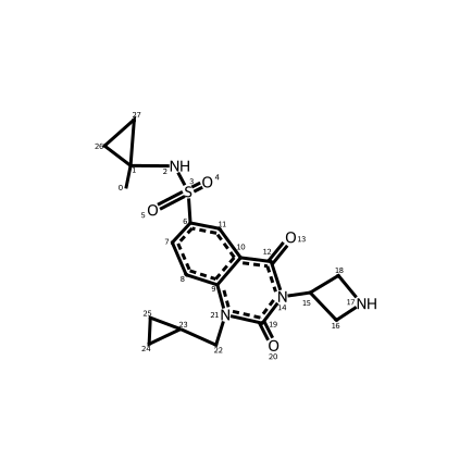 CC1(NS(=O)(=O)c2ccc3c(c2)c(=O)n(C2CNC2)c(=O)n3CC2CC2)CC1